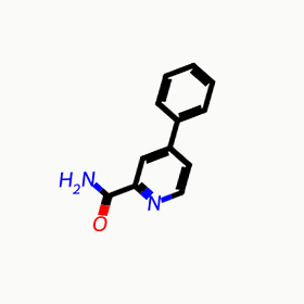 NC(=O)c1cc(-c2ccccc2)ccn1